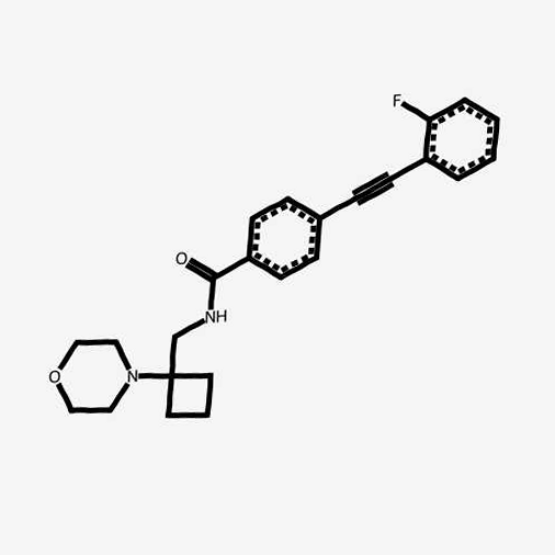 O=C(NCC1(N2CCOCC2)CCC1)c1ccc(C#Cc2ccccc2F)cc1